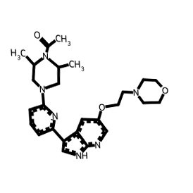 CC(=O)N1C(C)CN(c2cccc(-c3c[nH]c4ncc(OCCN5CCOCC5)cc34)n2)CC1C